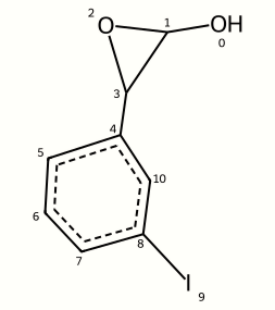 OC1OC1c1cccc(I)c1